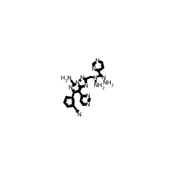 N#Cc1cccc(-c2nc(N)n3nc(CN(N)/C(=N\N)c4ccncn4)nc3c2-c2ccncn2)c1